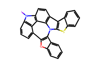 In1c2cccc3c4oc5ccccc5c4n4c5sc6ccccc6c5c5ccc1c(c32)c54